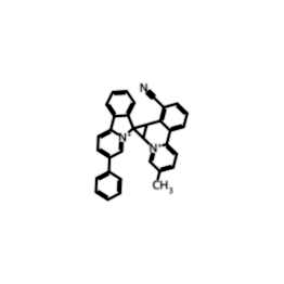 Cc1ccc2[n+](c1)C1C(c3c(C#N)cccc3-2)C12c1ccccc1-c1ccc(-c3ccccc3)c[n+]12